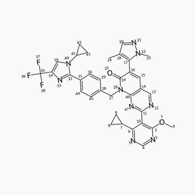 COc1ncnc(C2CC2)c1-c1ncc2cc(-c3c(C)cnn3C)c(=O)n(Cc3ccc(-c4nc(C(F)(F)F)cn4C4CC4)cc3)c2n1